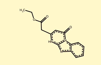 CCOC(=O)Cc1cc(=O)n2c(nc3ccccc32)[nH]1